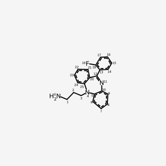 NCCCN1c2ccccc2N=C(c2ccccc2F)c2ccccc21